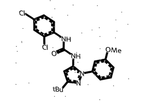 COc1cccc(-n2nc(C(C)(C)C)cc2NC(=O)Nc2ccc(Cl)cc2Cl)c1